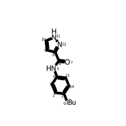 CCC(C)c1ccc(NC(=O)c2cc[nH]n2)cc1